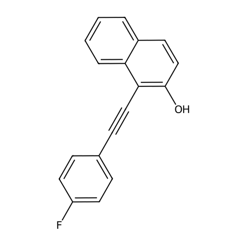 Oc1ccc2ccccc2c1C#Cc1ccc(F)cc1